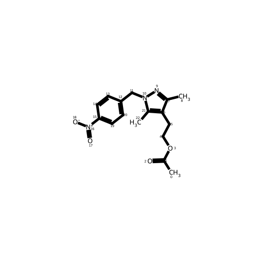 CC(=O)OCCc1c(C)nn(Cc2ccc([N+](=O)[O-])cc2)c1C